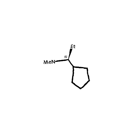 CC[C@H](NC)C1CCCC1